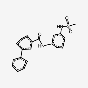 CS(=O)(=O)Nc1cccc(NC(=O)c2cccc(-c3ccccc3)c2)c1